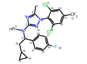 CCCN(c1nc(C)n(-c2c(Cl)cc(C(F)(F)F)cc2Cl)n1)C(CC1CC1)c1ccc(F)cc1